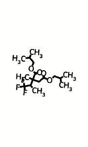 CC(C)COC(=O)CC(C)(C(=O)OCC(C)C)C(C)C(F)(F)F